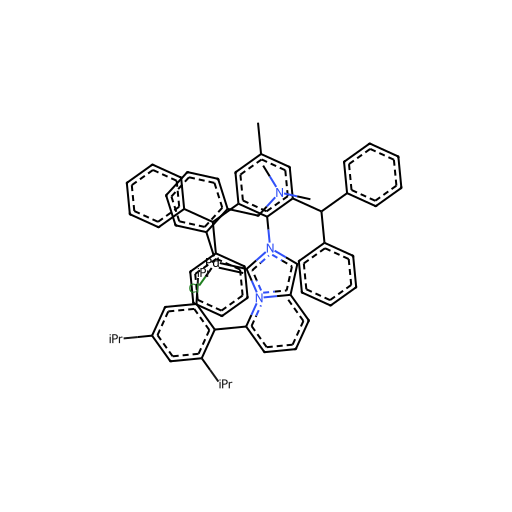 Cc1cc(C(c2ccccc2)c2ccccc2)c(-n2cc3cccc(-c4c(C(C)C)cc(C(C)C)cc4C(C)C)n3[c]2=[Pd]([Cl])[c]2ccccc2CN(C)C)c(C(c2ccccc2)c2ccccc2)c1